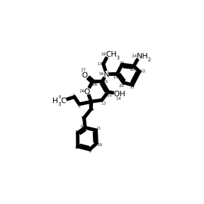 CCCC1(CCc2ccccc2)CC(O)=C(N(CC)c2cccc(N)c2)C(=O)O1